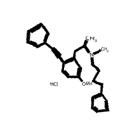 COc1ccc(C#Cc2ccccc2)c(CC(C)N(C)CCCCc2ccccc2)c1.Cl